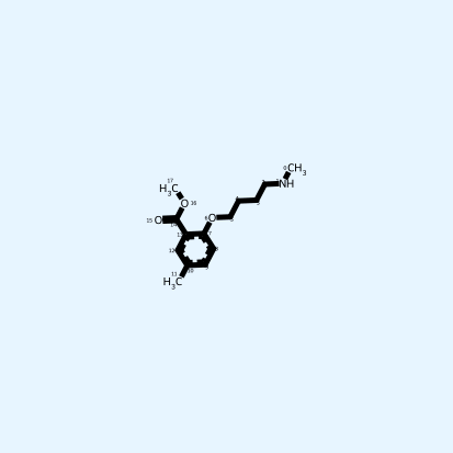 CNCCCCOc1ccc(C)cc1C(=O)OC